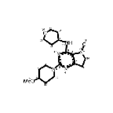 COC1CCN(c2nc3c(c(NC4CCOCC4)n2)[S+]([O-])CC3)CC1